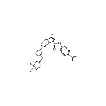 CN(C)c1ccc(NC(=O)c2n[nH]c3ccc(-c4cncc(CN5CCC(F)(F)C5)c4)cc23)cn1